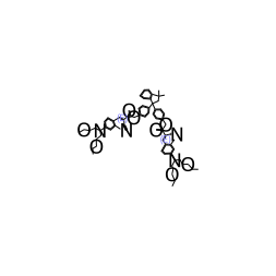 CCOCCN(CCOC)c1ccc(/C=C(\C#N)C(=O)Oc2ccc(C3(c4ccc(OC(=O)/C(C#N)=C/c5ccc(N(CCOCC)CCOCC)cc5C)cc4)CC(C)(C)c4ccccc43)cc2)c(C)c1